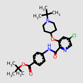 CC(C)(C)OC(=O)c1ccc(NC(=O)c2ncc(Cl)cc2OC2CCN(C(C)(C)C)CC2)cc1